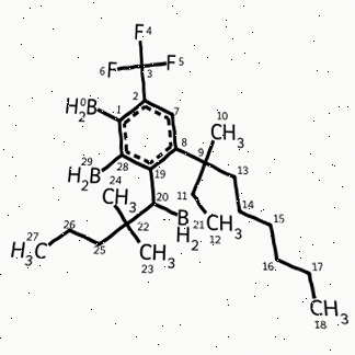 Bc1c(C(F)(F)F)cc(C(C)(CC)CCCCCC)c(C(B)C(C)(C)CCC)c1B